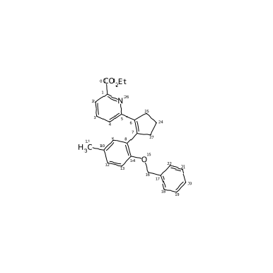 CCOC(=O)c1cccc(C2=C(c3cc(C)ccc3OCc3ccccc3)CCC2)n1